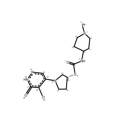 CC(C)N1CCC(NC(=O)O[C@@H]2CCN(c3cn[nH]c(=O)c3Cl)C2)CC1